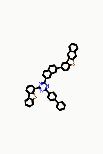 c1ccc(-c2ccc(-c3nc(-c4ccc5ccc(-c6ccc7sc8cc9ccccc9cc8c7c6)cc5c4)nc(-c4cccc5c4sc4ccccc45)n3)cc2)cc1